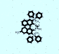 CC1CCc2c(cc([Si](C)(c3ccccc3)c3ccccc3)c3c2-c2c(c([Si](C)(c4ccccc4)c4ccccc4)cc4ccccc24)OP(=O)(O)O3)C1